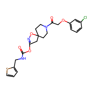 O=C(NCc1cccs1)OC1=NOC2(CCN(C(=O)COc3cccc(Cl)c3)CC2)C1